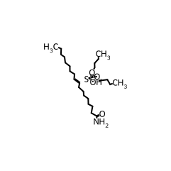 CCCCCCCCC=CCCCCCCCC(N)=O.CCCCOP(O)(=S)OCCCC